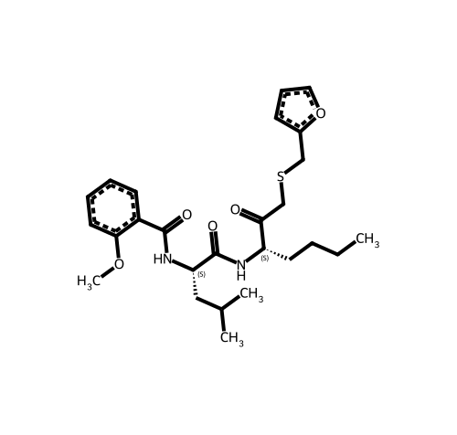 CCCC[C@H](NC(=O)[C@H](CC(C)C)NC(=O)c1ccccc1OC)C(=O)CSCc1ccco1